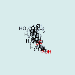 C=C(C)[C@@H]1CC[C@]2(C(=O)O)CC[C@]3(C)[C@H](CC[C@@H]4[C@@]5(C)CC[C@H](OC(=O)[C@H]6[C@@H](CC(=O)CO)C6(C)C)C(C)(C)[C@@H]5CC[C@]43C)[C@@H]12